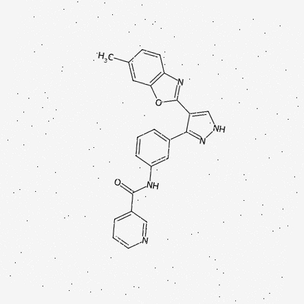 Cc1ccc2nc(-c3c[nH]nc3-c3cccc(NC(=O)c4cccnc4)c3)oc2c1